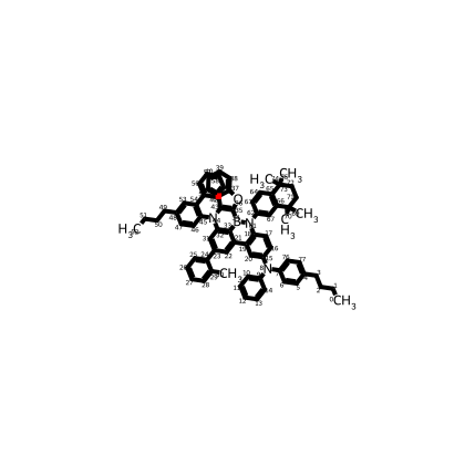 CCCCc1ccc(N(c2ccccc2)c2ccc3c(c2)-c2cc(-c4ccccc4C)cc4c2B(c2oc5ccccc5c2N4c2ccc(CCCC)cc2-c2ccccc2)N3c2ccc3c(c2)C(C)(C)CCC3(C)C)cc1